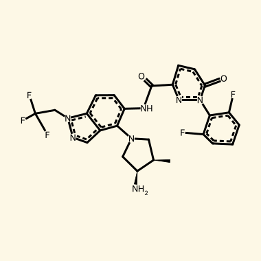 C[C@@H]1CN(c2c(NC(=O)c3ccc(=O)n(-c4c(F)cccc4F)n3)ccc3c2cnn3CC(F)(F)F)C[C@@H]1N